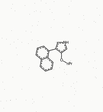 CCCOc1c[nH][c]c1-c1cccc2ccccc12